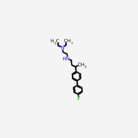 CCN(CC)CCNCCC(C)c1ccc(-c2ccc(F)cc2)cc1